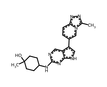 Cc1nnc2ccc(-c3c[nH]c4nc(NC5CCC(C)(O)CC5)ncc34)cn12